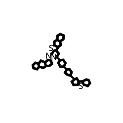 c1ccc2cc3c(ccc4c3nc3c5sc6cc7ccccc7cc6c5cc(-c5ccc(-c6ccc(-c7ccc8sc9ccccc9c8c7)cc6)cc5)n43)cc2c1